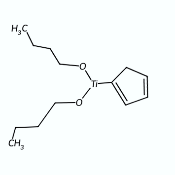 CCCC[O][Ti]([O]CCCC)[C]1=CC=CC1